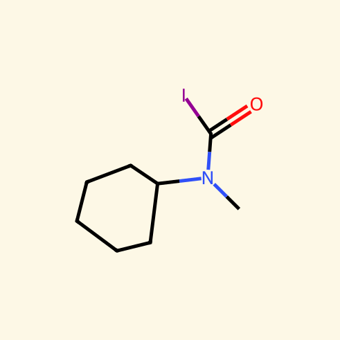 CN(C(=O)I)C1CCCCC1